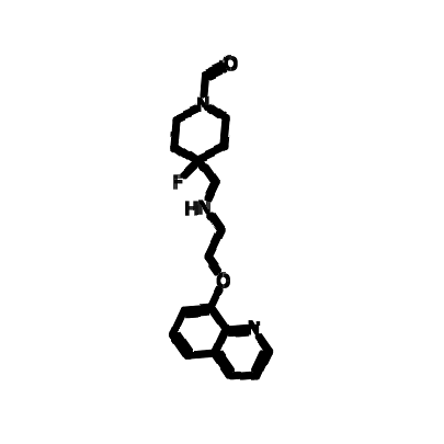 O=CN1CCC(F)(CNCCOc2cccc3cccnc23)CC1